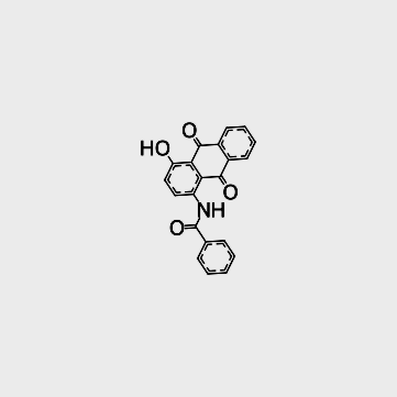 O=C(Nc1ccc(O)c2c1C(=O)c1ccccc1C2=O)c1ccccc1